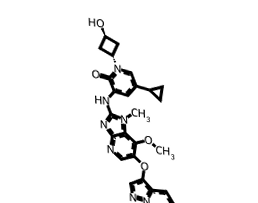 COc1c(Oc2cnn3ccccc23)cnc2nc(Nc3cc(C4CC4)cn([C@H]4C[C@H](O)C4)c3=O)n(C)c12